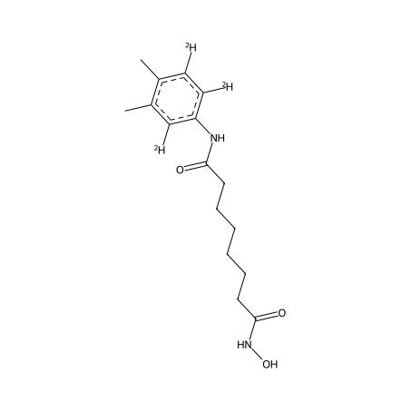 [2H]c1c([2H])c(NC(=O)CCCCCCC(=O)NO)c([2H])c(C)c1C